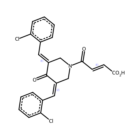 O=C(O)/C=C/C(=O)N1C/C(=C/c2ccccc2Cl)C(=O)/C(=C/c2ccccc2Cl)C1